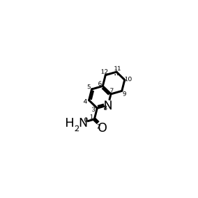 NC(=O)c1ccc2c(n1)CC[C]C2